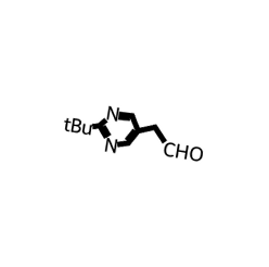 CC(C)(C)c1ncc(CC=O)cn1